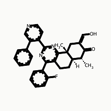 C[C@H]1C(=O)/C(=C\O)C[C@@]2(C)c3nc(-c4ccncc4-c4ccccc4)nc(-c4ccccc4F)c3CC[C@H]12